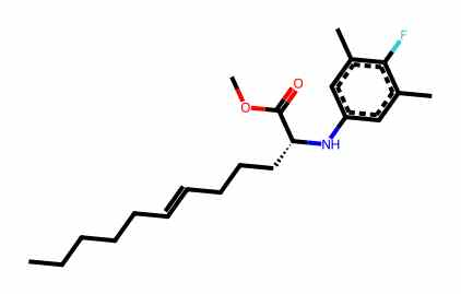 CCCCC/C=C/CCC[C@@H](Nc1cc(C)c(F)c(C)c1)C(=O)OC